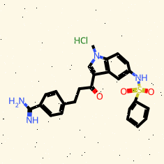 Cl.Cn1cc(C(=O)CCc2ccc(C(=N)N)cc2)c2cc(NS(=O)(=O)c3ccccc3)ccc21